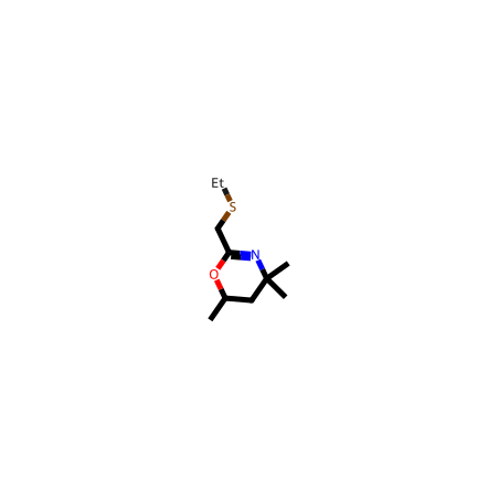 CCSCC1=NC(C)(C)CC(C)O1